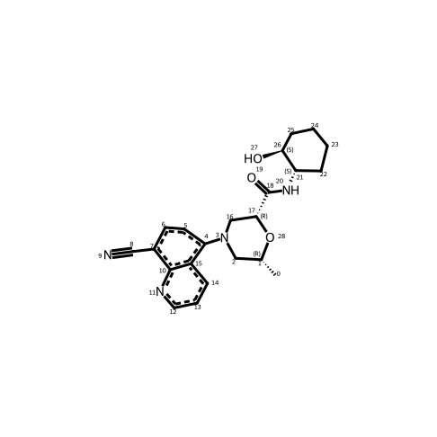 C[C@@H]1CN(c2ccc(C#N)c3ncccc23)C[C@H](C(=O)N[C@H]2CCCC[C@@H]2O)O1